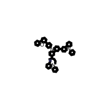 C1=CCCC(N2CCCC(C3C=CC4C(C3)C3CC(C5C=CC6C(C5)C5CCC=CC5N6C5=CC=CCC5)C=CC3N4C3=CC=C(C4CC=CC5C6=C(C=CCC6)OC54)CC3)/C=C/C3CCC=CC32)=C1